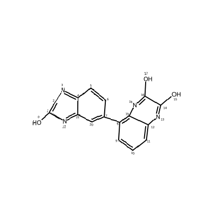 Oc1cnc2ccc(-c3[c]ccc4nc(O)c(O)nc34)cc2n1